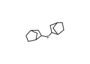 [B](C1CC2CCC1C2)C1CC2CCC1C2